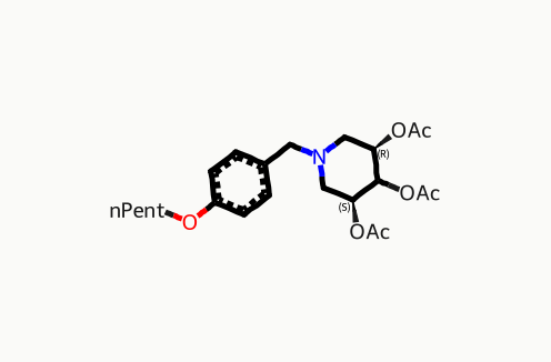 CCCCCOc1ccc(CN2C[C@H](OC(C)=O)C(OC(C)=O)[C@H](OC(C)=O)C2)cc1